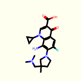 CN(C)CC1(C)CCN(c2c(F)cc3c(=O)c(C(=O)O)cn(C4CC4)c3c2N)C1